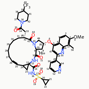 COc1ccc2c(O[C@@H]3C[C@H]4C(=O)N[C@]5(C(=O)NS(=O)(=O)C6CC6)CC5C=CCCCCC[C@H](CC(=O)N5CCC(C(F)(F)F)CC5)C(=O)N4C3)cc(-c3cccnc3)nc2c1C